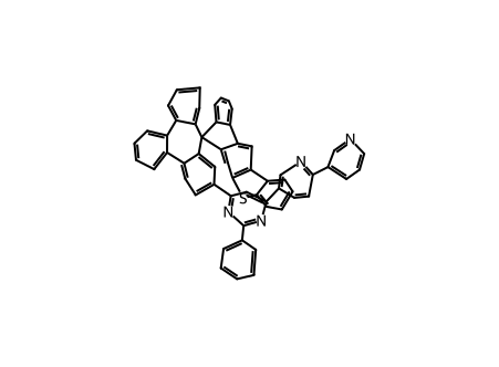 c1ccc(-c2nc(-c3ccc(-c4cccnc4)nc3)cc(-c3ccc4c(c3)C3(c5ccccc5-c5ccccc5-4)c4ccccc4-c4cc5c(cc43)sc3ccccc35)n2)cc1